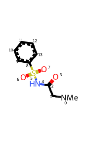 CNCC(=O)NS(=O)(=O)c1ccccc1